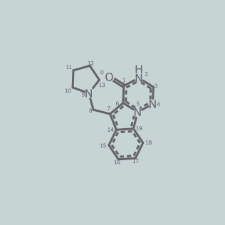 O=c1[nH]cnn2c1c(CN1CCCC1)c1ccccc12